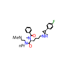 CCCN(CCNC)C(=O)[C@H](CCCCN[C@]1(C)C[C@H]1c1ccc(F)cc1)N(C)C(=O)c1ccccc1